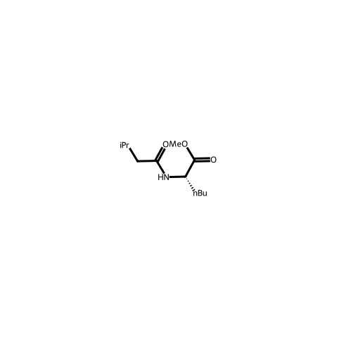 CCCC[C@H](NC(=O)CC(C)C)C(=O)OC